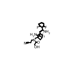 CC1C2CC(/C=C(\N)c3c(F)cccc3F)=C(N)C1(CN(CCC#N)C(=O)CO)C2